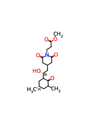 COC(=O)CCN1C(=O)CC(C[C@@H](O)C2C[C@@H](C)CC(C)C2=O)CC1=O